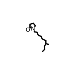 CCCC(C)CCCCCCN1CCCC1=O